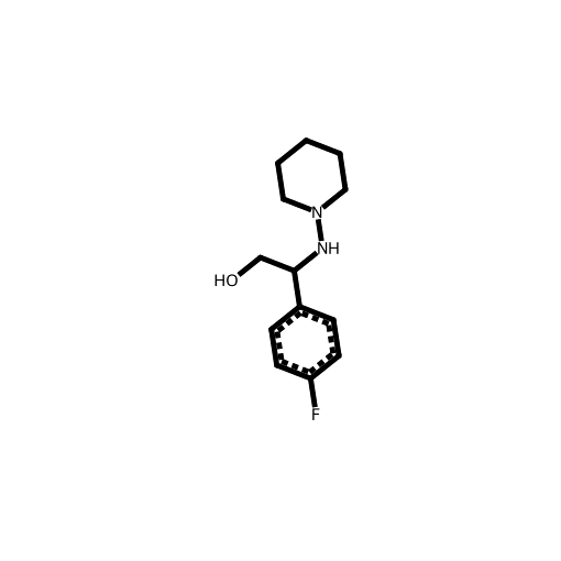 OCC(NN1CCCCC1)c1ccc(F)cc1